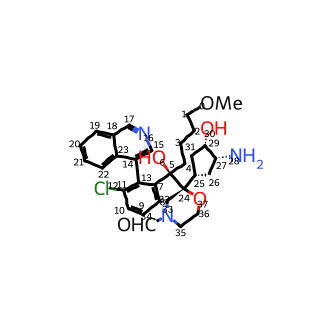 COCCCC[C@@](O)(c1cccc(Cl)c1-c1cncc2ccccc12)[C@@]1([C@H]2C[C@@H](N)[C@@H](O)C2)CN(C=O)CCO1